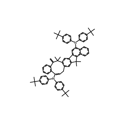 C=C1c2ccccc2/C(N(c2ccc(C(C)(C)C)cc2)c2ccc(C(C)(C)C)cc2)=C\Cc2cc3c(cc2C1(C)C)-c1cc(N(c2ccc(C(C)(C)C)cc2)c2ccc(C(C)(C)C)cc2)c2ccccc2c1C3(C)C